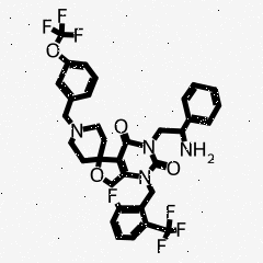 NC(Cn1c(=O)c2c(n(Cc3c(F)cccc3C(F)(F)F)c1=O)COC21CCN(Cc2cccc(OC(F)(F)F)c2)CC1)c1ccccc1